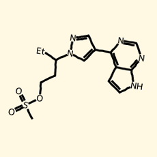 CCC(CCOS(C)(=O)=O)n1cc(-c2ncnc3[nH]ccc23)cn1